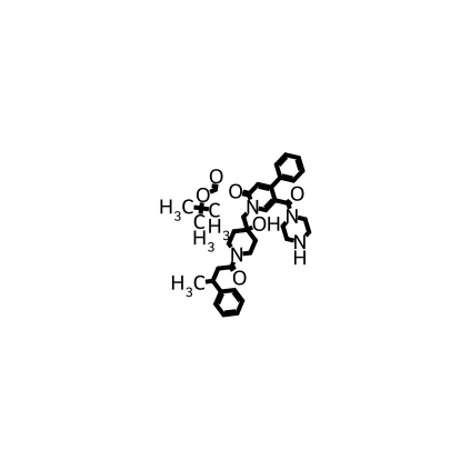 CC(C)(C)OC=O.CC(CC(=O)N1CCC(O)(Cn2cc(C(=O)N3CCNCC3)c(-c3ccccc3)cc2=O)CC1)c1ccccc1